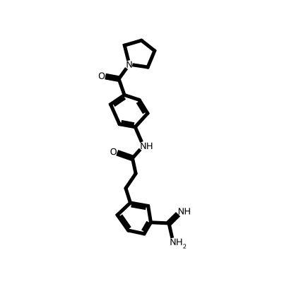 N=C(N)c1cccc(CCC(=O)Nc2ccc(C(=O)N3CCCC3)cc2)c1